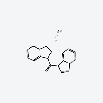 C=C(C1CCC2CC=CC=C21)C1CCC2CC=CC=C21.[Cl-].[Cl-].[Zr+2]